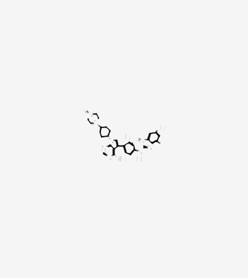 Cc1cc(F)c2nc(Nc3ccc(-c4cn(C5CCC(N6CCN(C)CC6)CC5)c5ncnc(N)c45)cc3)n(C)c2c1